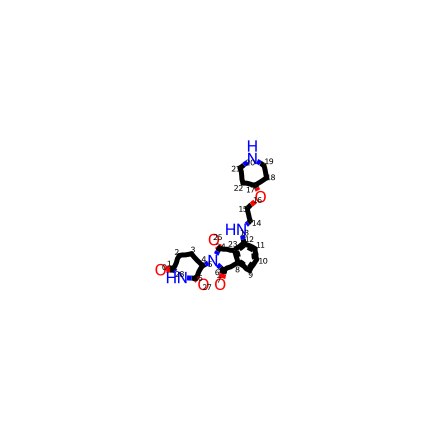 O=C1CCC(N2C(=O)c3cccc(NCCOC4CCNCC4)c3C2=O)C(=O)N1